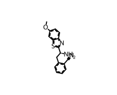 COc1ccc2nc([C@@H](N)Cc3ccccc3C#N)sc2c1